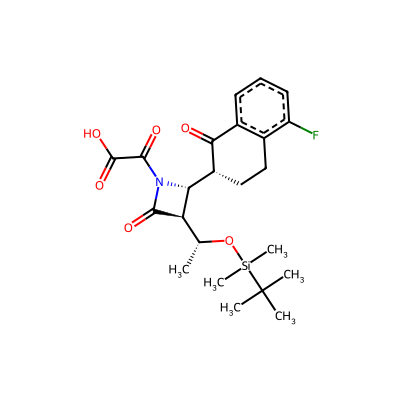 C[C@@H](O[Si](C)(C)C(C)(C)C)[C@H]1C(=O)N(C(=O)C(=O)O)[C@@H]1[C@H]1CCc2c(F)cccc2C1=O